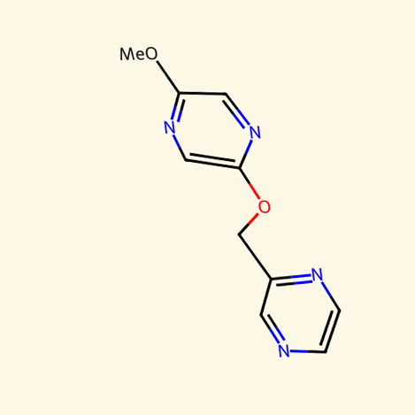 COc1cnc(OCc2cnccn2)cn1